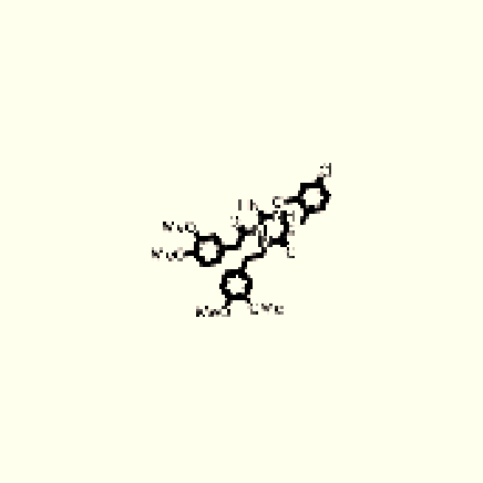 COc1ccc(CCNC(=O)[C@@H](Cc2ccc(Cl)cc2Cl)NC(=N)NC(=O)Cc2ccc(OC)c(OC)c2)cc1OC